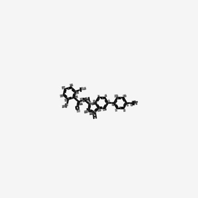 CC(C)c1ccc(-c2ccc3c(NC(=O)c4c(F)cccc4F)n[nH]c3c2)cc1